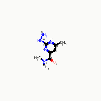 Cc1cc(C(=O)N(C)C)nc(NN)n1